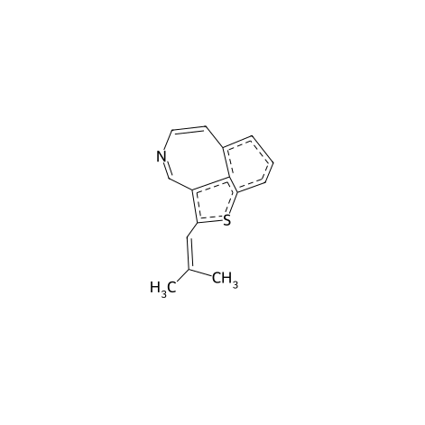 CC(C)=Cc1sc2cccc3c2c1C=NC=C3